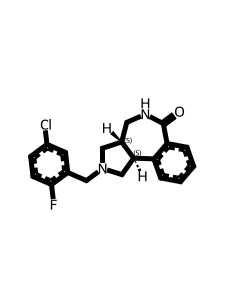 O=C1NC[C@H]2CN(Cc3cc(Cl)ccc3F)C[C@@H]2c2ccccc21